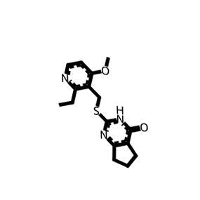 CCc1nccc(OC)c1CSc1nc2c(c(=O)[nH]1)CCC2